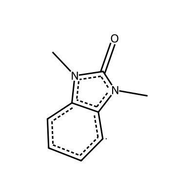 Cn1c(=O)n(C)c2ccc[c]c21